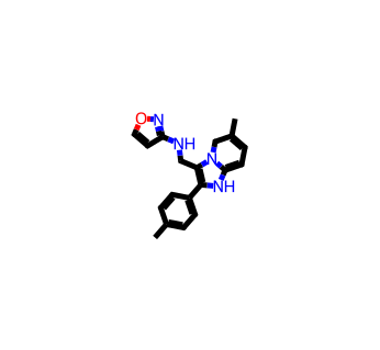 CC1=CC=C2NC(c3ccc(C)cc3)=C(CNc3ccon3)N2C1